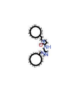 O=C1[C@H](NCc2cncn2CC2CCCCCCCCCCCCCC2)CCN1CCC1CCCCCCCCCCCCC1